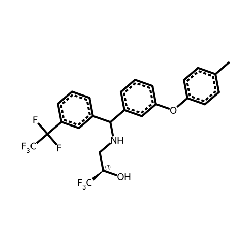 Cc1ccc(Oc2cccc(C(NC[C@@H](O)C(F)(F)F)c3cccc(C(F)(F)C(F)(F)F)c3)c2)cc1